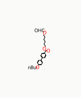 CCCCOc1ccc(-c2ccc(C(=O)OCCCCCCOC=O)cc2)cc1